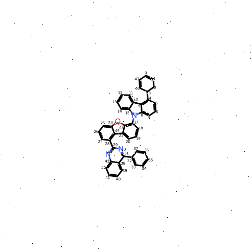 C1=CCC(c2cccc3c2c2ccccc2n3-c2cccc3c2oc2cccc(-c4nc(-c5ccccc5)c5ccccc5n4)c23)C=C1